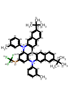 Cc1cccc(N2c3cc4cc(C(C)(C)C)ccc4cc3B3c4cc5ccc(C(C)(C)C)cc5cc4N(c4cccc(C)c4)c4cc(SC(F)(F)F)cc2c43)c1